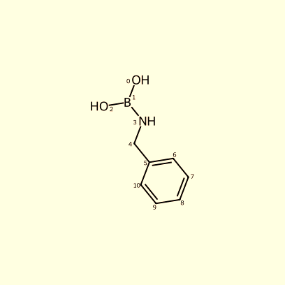 OB(O)NCc1ccccc1